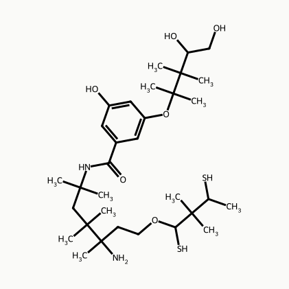 CC(S)C(C)(C)C(S)OCCC(C)(N)C(C)(C)CC(C)(C)NC(=O)c1cc(O)cc(OC(C)(C)C(C)(C)C(O)CO)c1